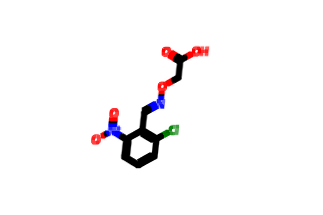 O=C(O)CON=Cc1c(Cl)cccc1[N+](=O)[O-]